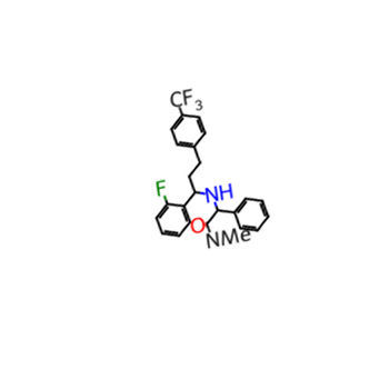 CNC(=O)C(NC(CCc1ccc(C(F)(F)F)cc1)c1ccccc1F)c1ccccc1